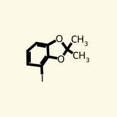 CC1(C)Oc2cccc(I)c2O1